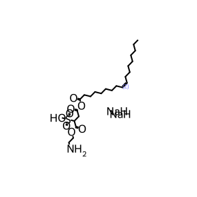 CCCCCCCC/C=C\CCCCCCCC(=O)OC(=O)CC(C(=O)OCCN)S(=O)(=O)O.[NaH].[NaH]